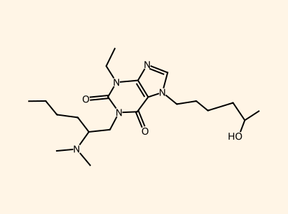 CCCCC(Cn1c(=O)c2c(ncn2CCCCC(C)O)n(CC)c1=O)N(C)C